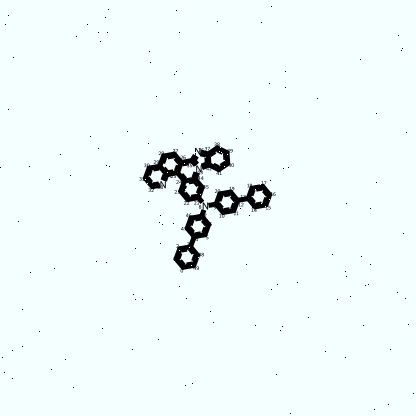 c1ccc(-c2ccc(N(c3ccc(-c4ccccc4)cc3)c3ccc4c5c(ccc6cccnc65)c5nc6ccccc6n5c4c3)cc2)cc1